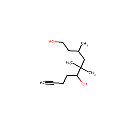 C#CCCC(O)C(C)(C)CC(C)CCO